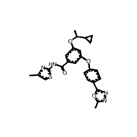 Cc1csc(NC(=O)c2cc(Oc3ccc(-c4nnc(C)o4)cc3)cc(OC(C)C3CC3)c2)n1